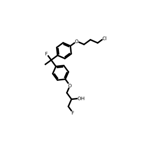 CC(F)(c1ccc(OCCCCl)cc1)c1ccc(OCC(O)CF)cc1